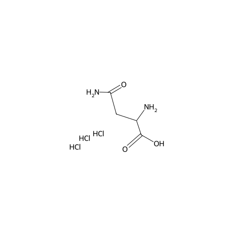 Cl.Cl.Cl.NC(=O)CC(N)C(=O)O